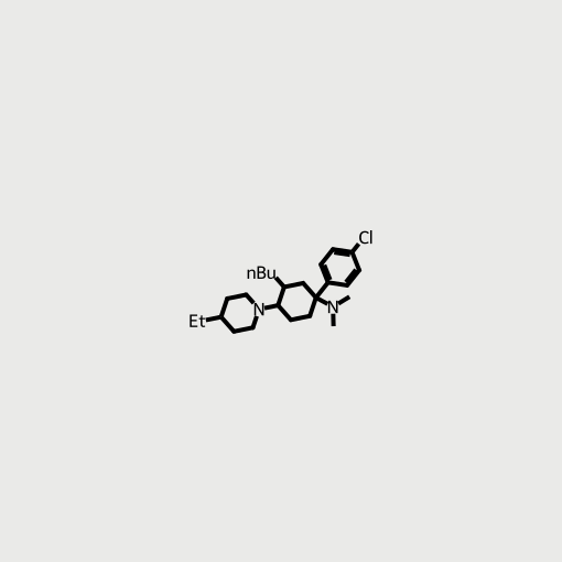 CCCCC1CC(c2ccc(Cl)cc2)(N(C)C)CCC1N1CCC(CC)CC1